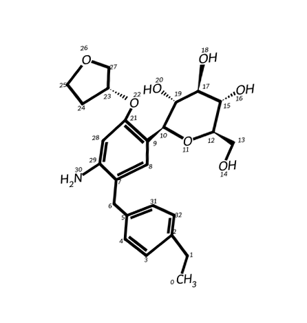 CCc1ccc(Cc2cc([C@@H]3O[C@H](CO)[C@@H](O)[C@H](O)[C@H]3O)c(O[C@@H]3CCOC3)cc2N)cc1